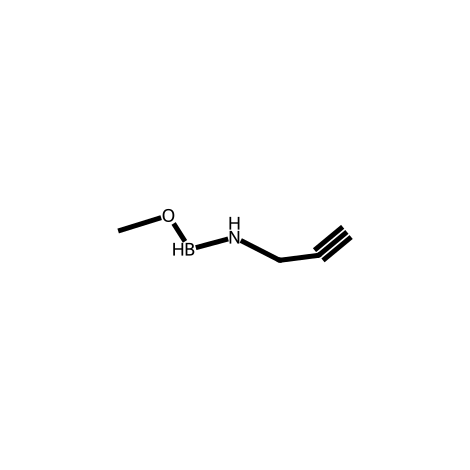 C#CCNBOC